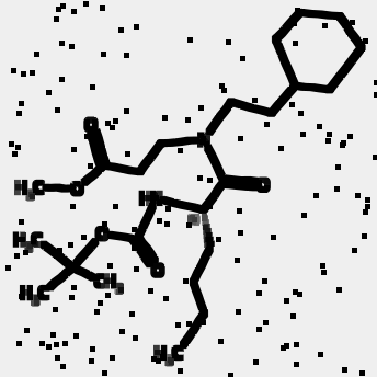 CCCC[C@H](NC(=O)OC(C)(C)C)C(=O)N(CCC(=O)OC)CCC1CCCCC1